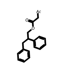 CC(=O)CC(=O)OCC(Cc1ccccc1)c1ccccc1